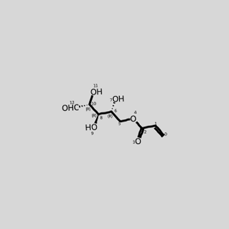 C=CC(=O)OC[C@@H](O)[C@@H](O)[C@@H](O)C=O